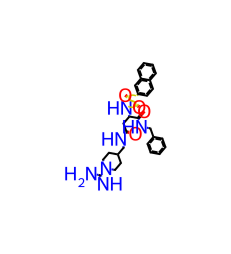 N=C(N)N1CCC(CNC(=O)CC(NS(=O)(=O)c2ccc3ccccc3c2)C(=O)NCc2ccccc2)CC1